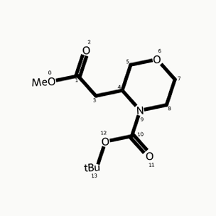 COC(=O)CC1COCCN1C(=O)OC(C)(C)C